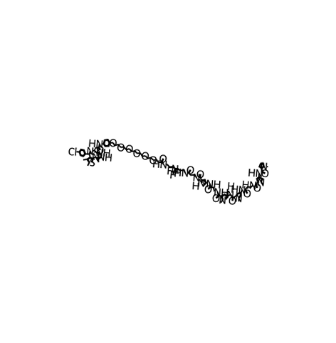 CC(=N)N1C(=N)[C@H](CC(=O)Nc2ccc(OCCOCCOCCOCCOCCOCCC(=O)NCCCN(CCCNC(=O)CCNC(=O)c3cc(NC(=O)CCNC(=O)c4cc(NC(=O)c5cc(NC(=O)CCNC(=O)c6cc(NC(=O)c7cccn7C)cn6C)cn5C)cn4C)cn3C)C(F)(F)F)cc2)N=C(c2ccc(Cl)cc2)c2c1sc(C)c2C